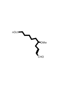 CCCCCCCCCCCCCC(CC=CC=O)OC